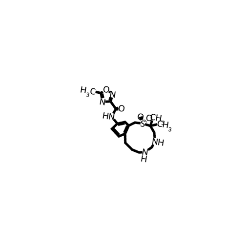 Cc1nc(C(=O)Nc2ccc3c(c2)CS(=O)(=O)C(C)(C)CNCNCCC3)no1